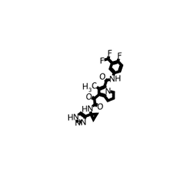 Cc1c(C(=O)C(=O)NC2(c3c[nH]nn3)CC2)c2n(c1C(=O)Nc1ccc(F)c(C(F)F)c1)CCC2